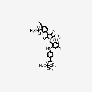 CC(C)(C)OC(=O)c1ccc(Nc2cc(F)ccc2CN2C(=O)N(c3ccc(C#N)c(C(C)(C)C)c3)C(=O)C2(C)C)cc1